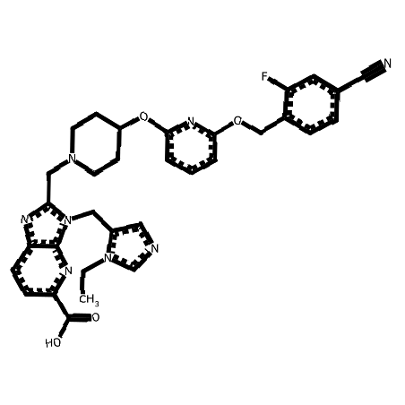 CCn1cncc1Cn1c(CN2CCC(Oc3cccc(OCc4ccc(C#N)cc4F)n3)CC2)nc2ccc(C(=O)O)nc21